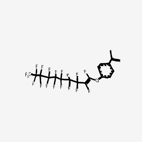 C=C(C)c1ccc(OC(F)=C(F)C(F)(F)C(F)(F)C(F)(F)C(F)(F)C(F)(F)C(F)(F)C(F)(F)C(F)(F)F)cc1